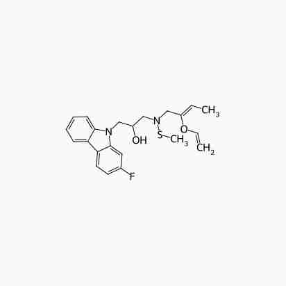 C=CO/C(=C\C)CN(CC(O)Cn1c2ccccc2c2ccc(F)cc21)SC